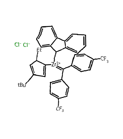 CCC1C=C(C(C)(C)C)C=[C]1[Zr+2](=[C](c1ccc(C(F)(F)F)cc1)c1ccc(C(F)(F)F)cc1)[CH]1c2ccccc2-c2ccccc21.[Cl-].[Cl-]